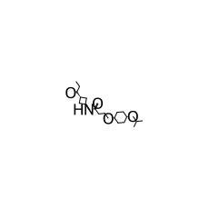 CCC(=O)[C@H]1C[C@@H](NC(=O)CCO[C@H]2CC[C@H](OC(C)C)CC2)C1